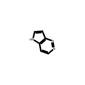 c1cc2[nH]ccc2nn1